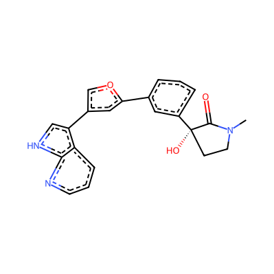 CN1CC[C@@](O)(c2cccc(-c3cc(-c4c[nH]c5ncccc45)co3)c2)C1=O